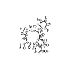 C[C@H]1NC(=O)C(C2CCO2)NC(=O)[C@H](C)[C@H](O)[C@H](Cc2c(F)c(F)c(F)c(F)c2F)NC(=O)[C@H]1NC(=O)c1ncccc1O